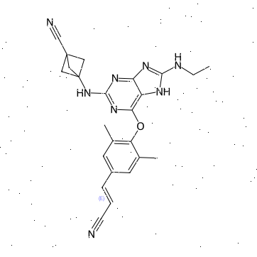 CCNc1nc2nc(NC34CC(C#N)(C3)C4)nc(Oc3c(C)cc(/C=C/C#N)cc3C)c2[nH]1